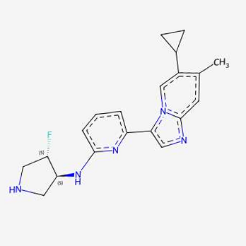 Cc1cc2ncc(-c3cccc(N[C@H]4CNC[C@@H]4F)n3)n2cc1C1CC1